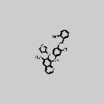 N#Cc1ccccc1COc1ccc(Nc2c(OC3CCOC3)c(N)cc3cccnc23)cc1Cl